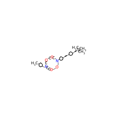 Cc1ccc(CN2CCOCCOCCN(c3ccc(C#Cc4ccc(C#C[Si](C)(C)C)cc4)cc3)CCOCCOCC2)cc1